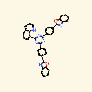 c1cnc2c(-c3nc(-c4ccc(-c5nc6ccccc6o5)cc4)nc(-c4ccc(-c5nc6ccccc6o5)cc4)n3)cccc2c1